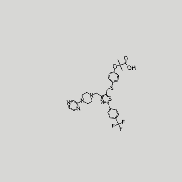 CC(C)(Oc1ccc(SCc2sc(-c3ccc(C(F)(F)F)cc3)nc2CN2CCN(c3cnccn3)CC2)cc1)C(=O)O